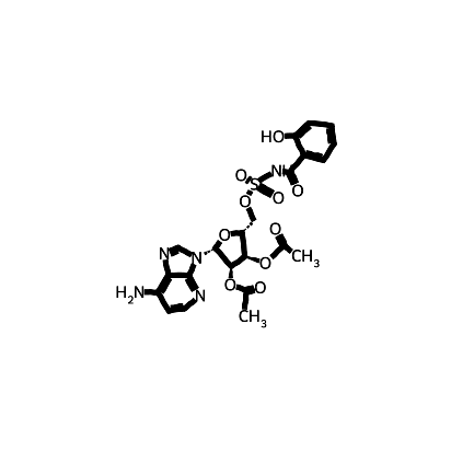 CC(=O)O[C@@H]1[C@H](OC(C)=O)[C@@H](COS(=O)(=O)NC(=O)c2ccccc2O)O[C@H]1n1cnc2c(N)ccnc21